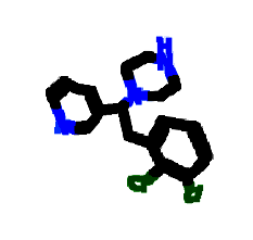 Clc1cccc(CC(c2cccnc2)N2CCNCC2)c1Cl